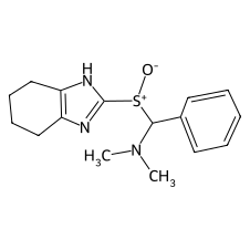 CN(C)C(c1ccccc1)[S+]([O-])c1nc2c([nH]1)CCCC2